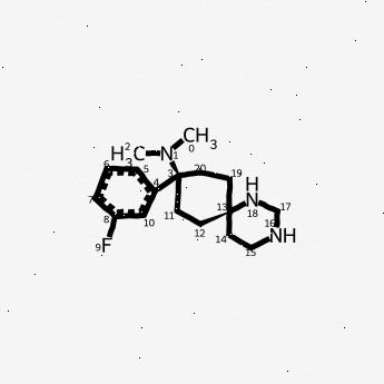 CN(C)[C@]1(c2cccc(F)c2)CC[C@@]2(CCNCN2)CC1